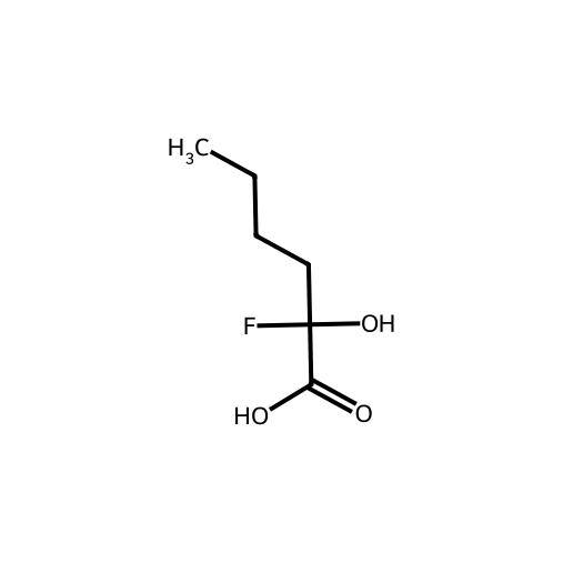 CCCCC(O)(F)C(=O)O